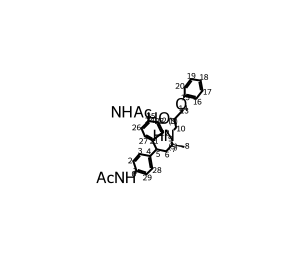 CC(=O)Nc1ccc(C(C[C@H](C)NC[C@H](O)COc2ccccc2)c2ccc(NC(C)=O)cc2)cc1